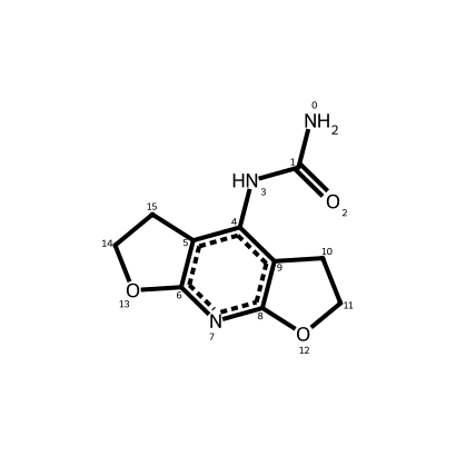 NC(=O)Nc1c2c(nc3c1CCO3)OCC2